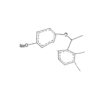 COc1ccc(OC(C)c2[c]ccc(C)c2C)cc1